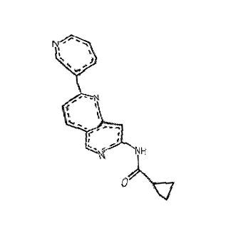 O=C(Nc1cc2nc(-c3cccnc3)ccc2cn1)C1CC1